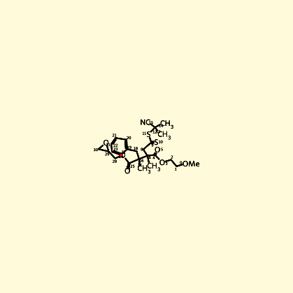 COCCOC(=O)C(C)(CC(=S)SC(C)(C)C#N)C(C)(Cc1ccccc1)C(=O)OCC1CO1